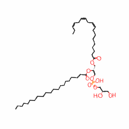 CC/C=C\C/C=C\C/C=C\CCCCCCCC(=O)OC[C@H](COP(=O)(O)OC[C@@H](O)CO)OC(=O)CCCCCCCCCCCCCCCCCCCC